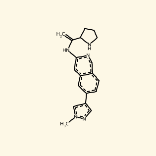 C=C(Nc1cc2cc(-c3cnn(C)c3)ccc2cn1)C1CCCN1